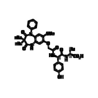 CCCCC1(CCCC)C(=O)[SH]c2cc(OCC(=O)N[C@@H](C(=O)N[C@H](C(=O)O)C(C)CC)c3ccc(O)cc3)c(SC)cc2N(c2ccccc2)C1=O